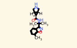 Cc1cccc2c(C(C)(C)NC(=O)[C@H]3[C@@H]4CNC[C@@H]43)noc12